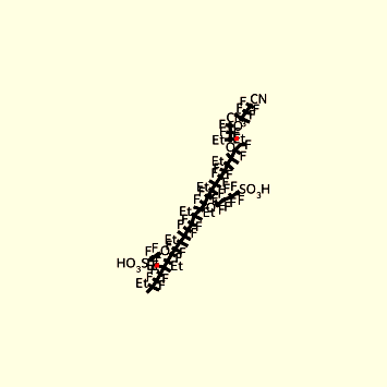 CCC(C)(C)C(F)(F)C(F)(F)C(C)(CC)C(C)(CC)C(F)(OC(F)(F)C(F)(F)S(=O)(=O)O)C(F)(F)C(C)(CC)C(C)(C)C(F)(F)C(F)(F)C(C)(CC)C(C)(CC)C(F)(OC(F)(F)C(F)(F)C(F)(F)C(F)(F)S(=O)(=O)O)C(F)(F)C(C)(CC)C(C)(C)C(F)(F)C(F)(F)C(C)(CC)C(C)(C)C(F)(OC(CC)(CC)C(F)(F)C(F)(OC(C)(C)C(F)(F)C(F)(F)C#N)C(F)(F)F)C(F)F